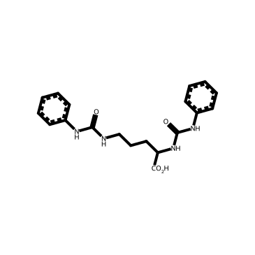 O=C(NCCCC(NC(=O)Nc1ccccc1)C(=O)O)Nc1ccccc1